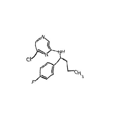 CCCC(Nc1cncc(Cl)n1)c1ccc(F)cc1